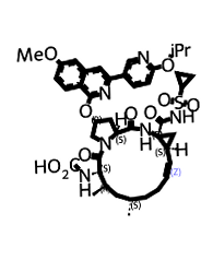 COc1ccc2c(O[C@@H]3C[C@H]4C(=O)N[C@]5(C(=O)NS(=O)(=O)C6CC6)C[C@H]5/C=C\CC[C@H](C)C[C@@H](C)[C@H](NC(=O)O)C(=O)N4C3)nc(-c3ccc(OC(C)C)nc3)cc2c1